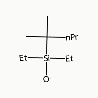 CCCC(C)(C)[Si]([O])(CC)CC